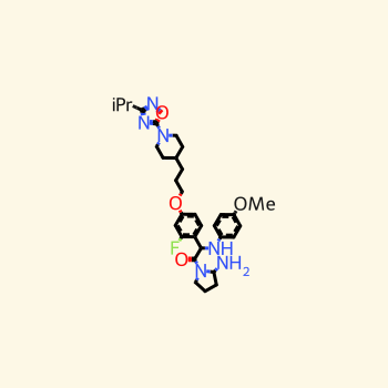 COc1ccc(NC(C(=O)N2CCCC2N)c2ccc(OCCCC3CCN(c4nc(C(C)C)no4)CC3)cc2F)cc1